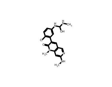 CNc1cc2c(cn1)cc(-c1cc(NC(O)NC)ccc1Cl)c(=O)n2C